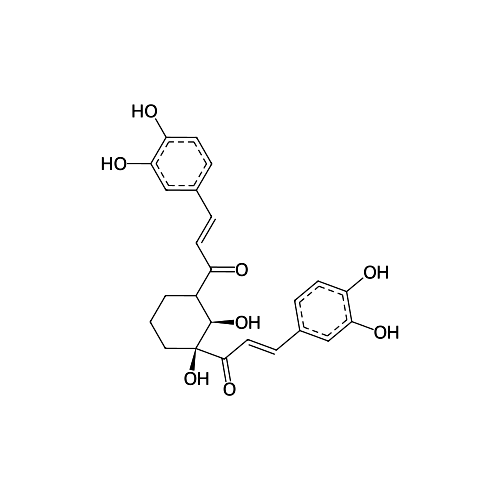 O=C(C=Cc1ccc(O)c(O)c1)C1CCC[C@@](O)(C(=O)C=Cc2ccc(O)c(O)c2)[C@@H]1O